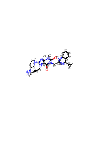 CC#CCn1c(N2CCCC(N)C2)nc2c1c(=O)n(Cc1nc(C3CC3)c3ccccc3n1)c(=O)n2C